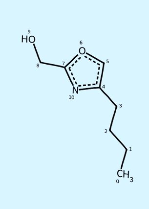 CCCCc1coc(CO)n1